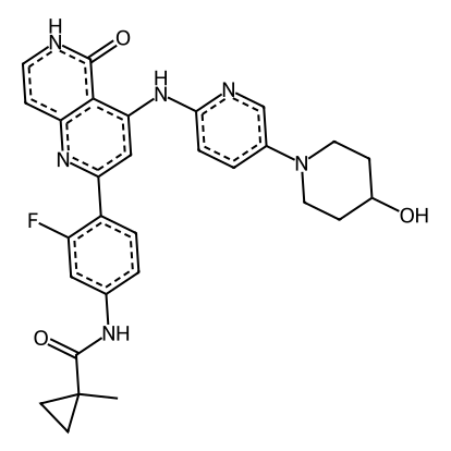 CC1(C(=O)Nc2ccc(-c3cc(Nc4ccc(N5CCC(O)CC5)cn4)c4c(=O)[nH]ccc4n3)c(F)c2)CC1